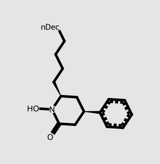 CCCCCCCCCCCCCC[C@H]1C[C@@H](c2ccccc2)CC(=O)N1O